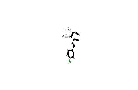 COc1cccc(/C=C/c2ccc(Br)cc2)c1OC